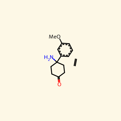 C=C.COc1cccc(C2(N)CCC(=O)CC2)c1